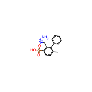 Cc1ccc(S(=O)(=O)O)c(CN)c1-c1ccccc1.N